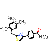 CNC(=O)c1ccc(-c2csc(Cc3cc(C)c([N+](=O)[O-])cc3C)n2)cc1